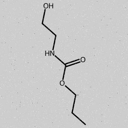 CC[CH]OC(=O)NCCO